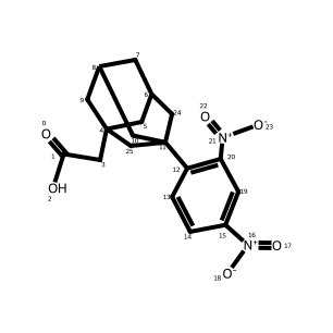 O=C(O)CC12CC3CC(C1)CC(c1ccc([N+](=O)[O-])cc1[N+](=O)[O-])(C3)C2